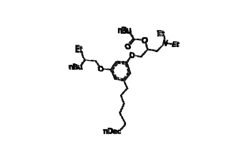 CCCCCCCCCCCCCCCc1cc(OCC(CC)CCCC)cc(OCC(CN(CC)CC)OC(=O)CCCC)c1